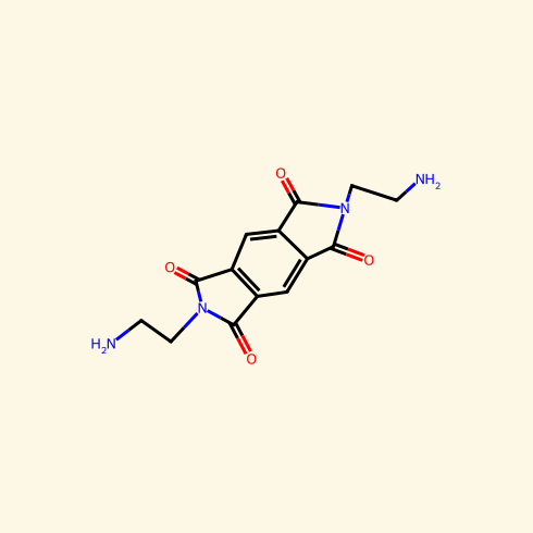 NCCn1c(=O)c2cc3c(=O)n(CCN)c(=O)c3cc2c1=O